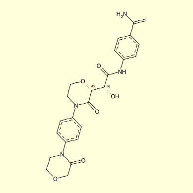 C=C(N)c1ccc(NC(=O)[C@H](O)[C@H]2OCCN(c3ccc(N4CCOCC4=O)cc3)C2=O)cc1